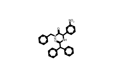 O=C(NCc1ccccc1)C(NC(=O)C(c1ccccc1)c1ccccc1)c1cccc([N+](=O)[O-])c1